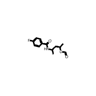 CC(CC(C)OC=O)NC(=O)c1ccc(F)cc1